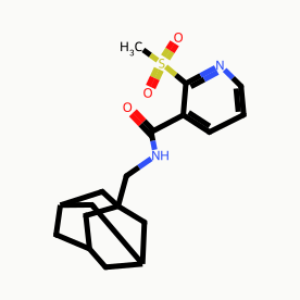 CS(=O)(=O)c1ncccc1C(=O)NCC12CC3CC(CC(C3)C1)C2